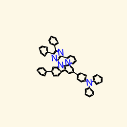 c1ccc(-c2ccc3c4cc(-c5ccc(N(c6ccccc6)c6ccccc6)cc5)ccc4n(-c4nc(-c5ccccc5)c(-c5ccccc5)nc4-c4ccccn4)c3c2)cc1